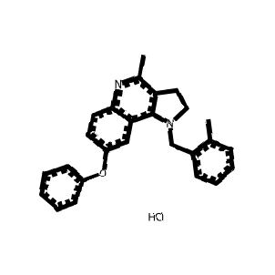 Cc1ccccc1CN1CCc2c(C)nc3ccc(Oc4ccccc4)cc3c21.Cl